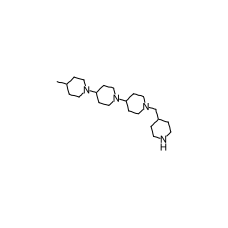 CC1CCN(C2CCN(C3CCN(CC4CCNCC4)CC3)CC2)CC1